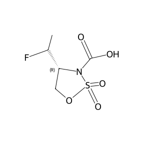 CC(F)[C@H]1COS(=O)(=O)N1C(=O)O